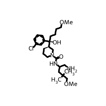 COCCCC[C@@](O)(c1cccc(Cl)c1)[C@@H]1CCCN(C(=O)NC(CN)CC(C)(C)COC)C1